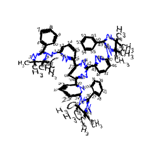 CC1(C)N=C(c2ccccc2)N(c2cccc(-c3cc(-c4cccc(N5C(c6ccccc6)=NC(C)(C)C5(C)C)n4)nc(-c4cccc(N5C(c6ccccc6)=NC(C)(C)C5(C)C)n4)n3)n2)C1(C)C